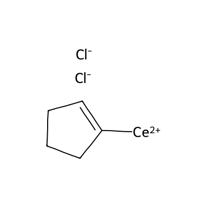 [Ce+2][C]1=CCCC1.[Cl-].[Cl-]